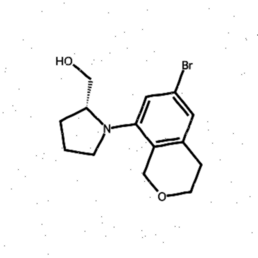 OC[C@H]1CCCN1c1cc(Br)cc2c1COCC2